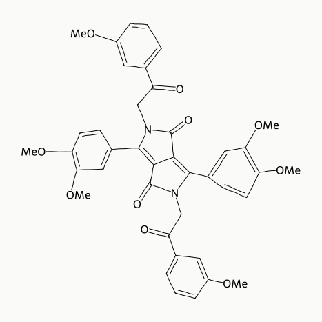 COc1cccc(C(=O)CN2C(=O)C3=C(c4ccc(OC)c(OC)c4)N(CC(=O)c4cccc(OC)c4)C(=O)C3=C2c2ccc(OC)c(OC)c2)c1